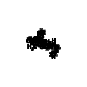 CC(C)CN(CC(O)C(Cc1ccccc1)NC(=O)OC1COC2OCCC12)S(=O)(=O)c1ccc2nc(NC3CCN(Cc4cccnc4)C3)sc2c1